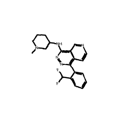 CN1CCCC(Nc2nnc(-c3ccccc3C(F)F)c3ccncc23)C1